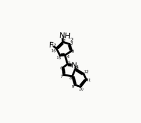 Nc1ccc(-c2ccc3ccccc3n2)cc1F